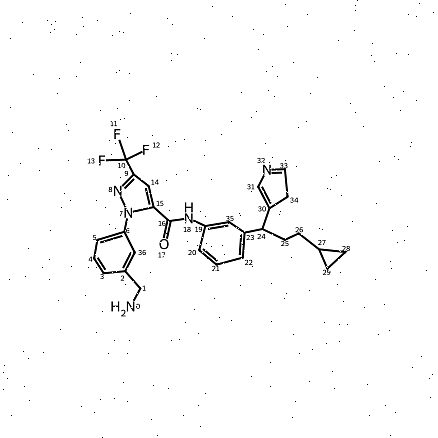 NCc1cccc(-n2nc(C(F)(F)F)cc2C(=O)Nc2cccc(C(CCC3CC3)C3=CN=CC3)c2)c1